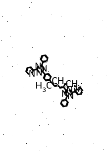 C=C/C(=C\C=C\C(C)(C)c1ccc(-c2nc(-c3ccccc3)nc(-c3ccccn3)n2)cc1)c1nc(-c2ccccc2)nc(-c2ccccn2)n1